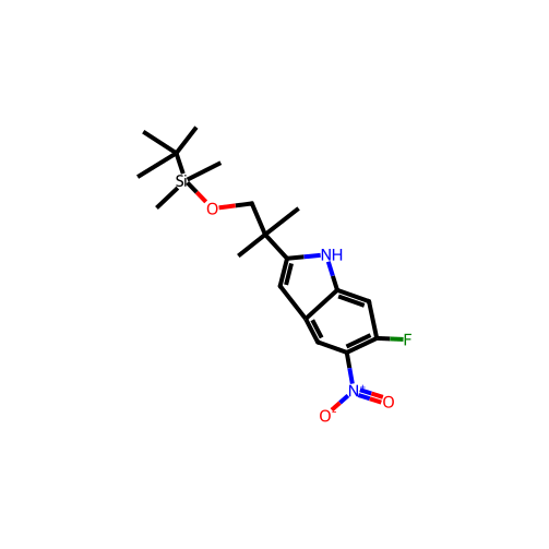 CC(C)(CO[Si](C)(C)C(C)(C)C)c1cc2cc([N+](=O)[O-])c(F)cc2[nH]1